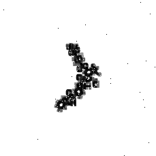 Cc1csc2c(OC(=O)N3CCN(C(=O)OC(C)(C)C)CC3)cc3c(c12)[C@H](CCl)CN3C(=O)c1cc2cc(NC(=O)c3cc4ccccc4[nH]3)ccc2[nH]1